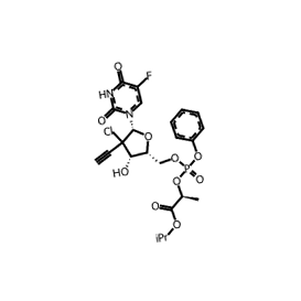 C#CC1(Cl)[C@@H](O)[C@@H](COP(=O)(Oc2ccccc2)O[C@@H](C)C(=O)OC(C)C)O[C@H]1n1cc(F)c(=O)[nH]c1=O